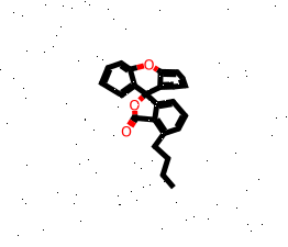 CCCCc1cccc2c1C(=O)OC21c2ccccc2Oc2ccccc21